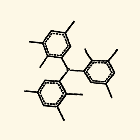 Cc1cc(C)c(C)c(P(c2cc(C)cc(C)c2C)c2cc(C)cc(C)c2C)c1